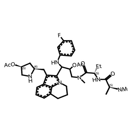 CC[C@H](NC(=O)[C@H](C)NC)C(=O)N(C)CC(OC(C)=O)C(Nc1cccc(F)c1)c1c(C[C@@H]2C[C@H](OC(C)=O)CN2)c2cccc3c2n1CCC3